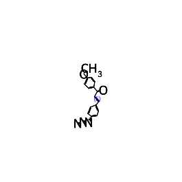 COc1ccc(C(=O)/C=C/c2ccc(N=[N+]=[N-])cc2)cc1